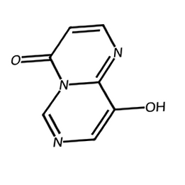 O=c1ccnc2c(O)cncn12